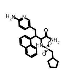 NC(=O)C(NS(=O)(=O)CC1CCCC1)C(Cc1ccc(N)nc1)c1cccc2ccccc12